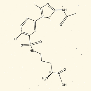 CC(=O)Nc1nc(C)c(-c2ccc(Cl)c(S(=O)(=O)NCCC[C@H](N)C(=O)O)c2)s1